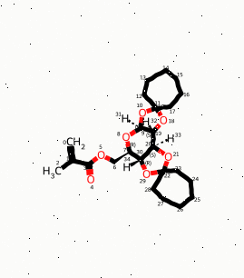 C=C(C)C(=O)OC[C@H]1O[C@H]2OC3(CCCCCC3)O[C@H]2[C@H]2OC3(CCCCCC3)O[C@@H]21